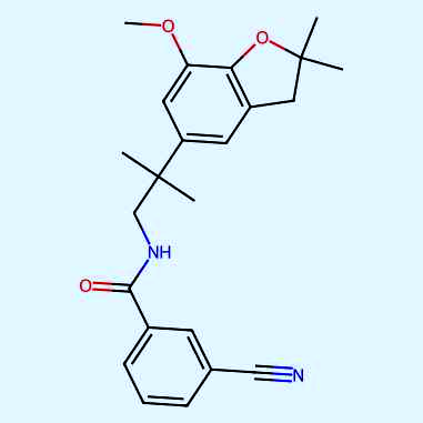 COc1cc(C(C)(C)CNC(=O)c2cccc(C#N)c2)cc2c1OC(C)(C)C2